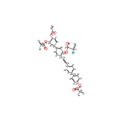 C=CC(=O)Oc1ccc(-c2ccc(C#Cc3ccc(-c4ccc(OC(=O)C(=C)C)cc4)cc3)c(OC(=O)C(=C)F)c2)cc1OC(=O)C(=C)C